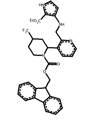 CCOC(=O)c1[nH]ccc1NCc1ncccc1C1CC(C(F)(F)F)CCN1C(=O)OCC1c2ccccc2-c2ccccc21